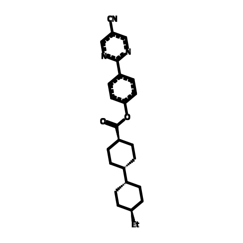 CC[C@H]1CC[C@H]([C@H]2CC[C@H](C(=O)Oc3ccc(-c4ncc(C#N)cn4)cc3)CC2)CC1